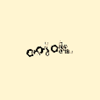 CC(C)(C)S(=O)(=O)N[C@H]1CC[C@H](C(=O)Nc2ccc(N3CC=CCC3)nc2)CC1